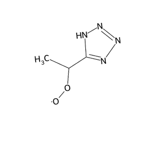 CC(O[O])c1nnn[nH]1